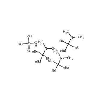 CCCCC(CCCC)(CCCC)N(C)C.CCCCC(CCCC)(CCCC)N(C)C.CCCCC(CCCC)(CCCC)N(C)C.O=P(O)(O)O